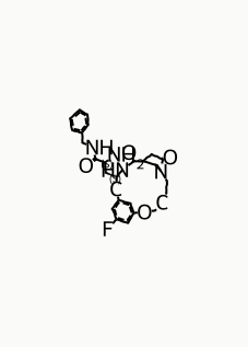 N[C@@H](C[C@@H]1Cc2cc(F)cc(c2)OCCCCN2CC(CC2=O)C(=O)N1)C(=O)NCc1ccccc1